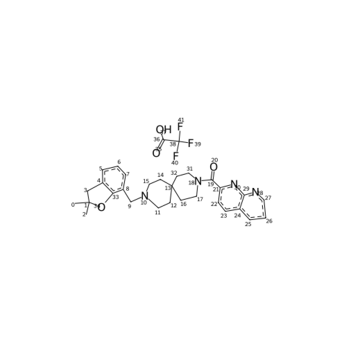 CC1(C)Cc2cccc(CN3CCC4(CC3)CCN(C(=O)c3ccc5cccnc5n3)CC4)c2O1.O=C(O)C(F)(F)F